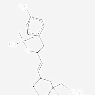 CCOC(=O)CC1(O)CCCC(C=CC(Cc2ccc(C(F)(F)F)cc2)O[Si](C)(C)C(C)(C)C)C1